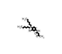 CCCCCCN(CCCCCC)c1ccc(NC(=O)CC(C)=O)cc1Br